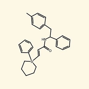 Cc1ccc(CC(NC(=O)C=C[Si]2(c3ccccc3)CCCCC2)c2ccccc2)cc1